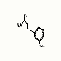 CCC(N)COc1cncc(C(C)(C)C)c1